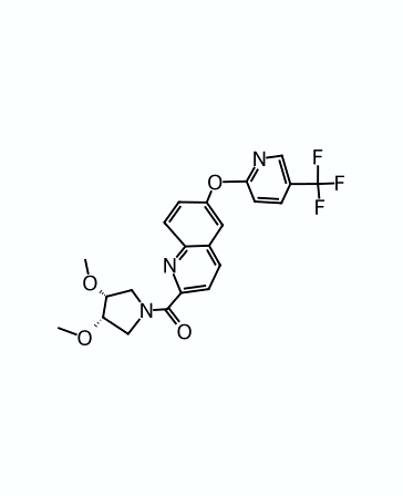 CO[C@H]1CN(C(=O)c2ccc3cc(Oc4ccc(C(F)(F)F)cn4)ccc3n2)C[C@H]1OC